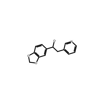 [O]C(Cc1cccnc1)c1ccc2c(c1)OCO2